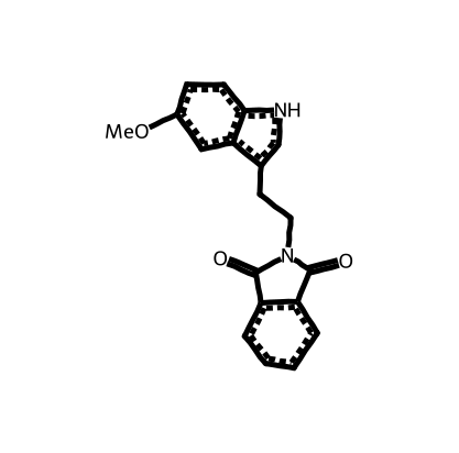 COc1ccc2[nH]cc(CCN3C(=O)c4ccccc4C3=O)c2c1